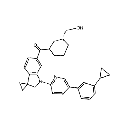 O=C(c1ccc2c(c1)N(c1ccc(-c3cccc(C4CC4)c3)cn1)CC21CC1)C1CCC[C@@H](CO)C1